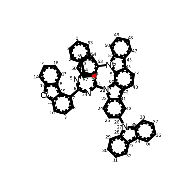 c1ccc(-c2nc(-c3cccc4oc5ccccc5c34)nc(-n3c4ccc(-n5c6ccccc6c6ccccc65)cc4c4ccc5c6ccccc6n(-c6ccccc6)c5c43)n2)cc1